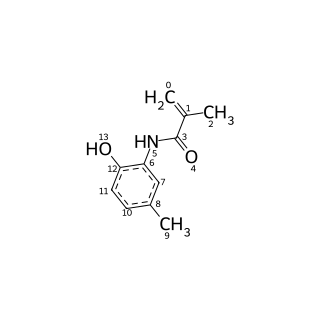 C=C(C)C(=O)Nc1cc(C)ccc1O